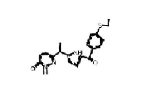 CCSc1ccc(C(=O)c2ccc(C(C)c3ccc(=O)[nH]n3)[nH]2)cc1